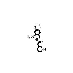 COc1ccc(CNC(=O)CC2CCCNC2)c(OC)c1